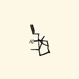 C=CCC1(O)CC2CCC1(C)C2(C)C